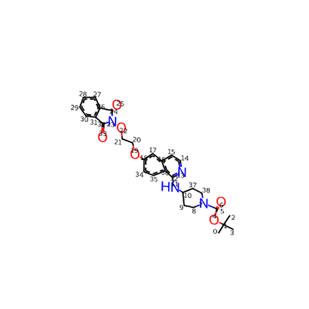 CC(C)(C)OC(=O)N1CCC(Nc2nccc3cc(OCCON4C(=O)c5ccccc5C4=O)ccc23)CC1